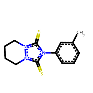 Cc1cccc(-n2c(=S)n3n(c2=S)CCCC3)c1